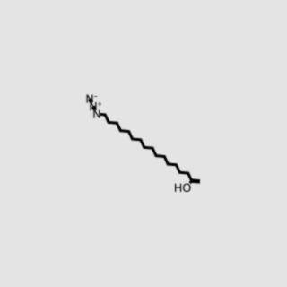 C=C(O)CCCCCCCCCCCCCCCN=[N+]=[N-]